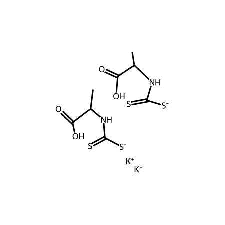 CC(NC(=S)[S-])C(=O)O.CC(NC(=S)[S-])C(=O)O.[K+].[K+]